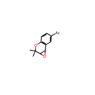 CC(=O)c1ccc2c(c1)C1OC1C(C)(C)O2